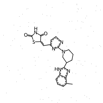 Cc1cccc2[nH]c(C3CCCN(c4nccc(C=C5SC(=O)NC5=O)n4)C3)nc12